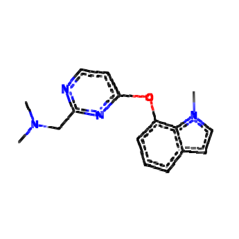 CN(C)Cc1nccc(Oc2cccc3ccn(C)c23)n1